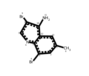 Cc1cc(Br)c2ncc(Br)c(N)c2c1